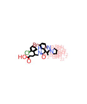 BC1(B)N(c2nc3ccc(Br)cc3c(C(=O)NCC(CCC(=O)O)c3ccccc3Cl)c2C)C(B)(B)C(B)(B)C1(B)B